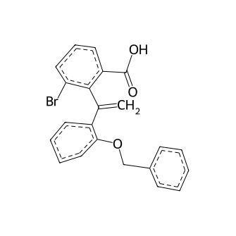 C=C(c1ccccc1OCc1ccccc1)c1c(Br)cccc1C(=O)O